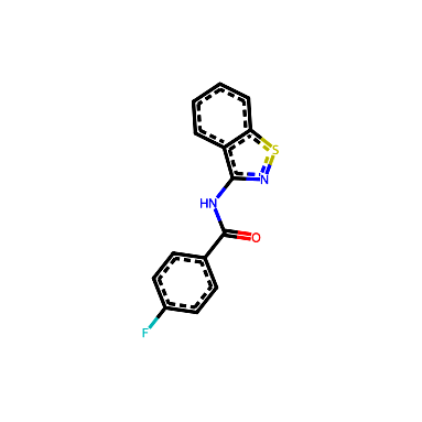 O=C(Nc1nsc2ccccc12)c1ccc(F)cc1